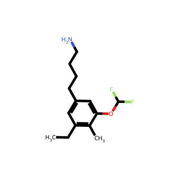 CCc1cc(CCCCN)cc(OC(F)F)c1C